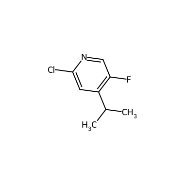 CC(C)c1cc(Cl)ncc1F